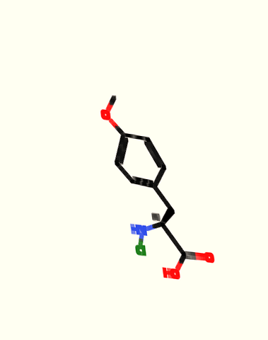 COc1ccc(C[C@H](NCl)C(=O)O)cc1